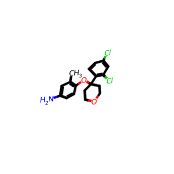 Cc1cc(N)ccc1OC1(c2ccc(Cl)cc2Cl)CCOCC1